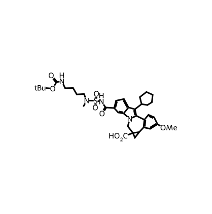 COc1ccc2c(c1)C1CC1(C(=O)O)Cn1c-2c(C2CCCCC2)c2ccc(C(=O)NS(=O)(=O)N(C)CCCCNC(=O)OC(C)(C)C)cc21